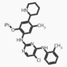 Cc1ccccc1Nc1nc(Nc2cc(C)c(C3CCCCN3)cc2OC(C)C)ncc1Cl